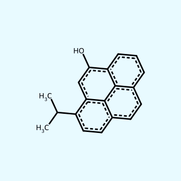 CC(C)c1ccc2ccc3cccc4c(O)cc1c2c34